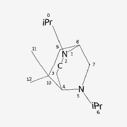 CC(C)N1CCC2N(C(C)C)CC1CC2(C)C